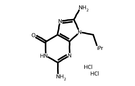 CC(C)Cn1c(N)nc2c(=O)[nH]c(N)nc21.Cl.Cl